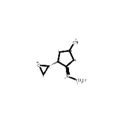 CCOC(=O)/N=C1\CC(C#N)CC1[C@@H]1CO1